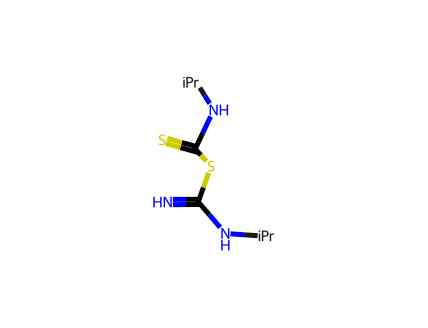 CC(C)NC(=N)SC(=S)NC(C)C